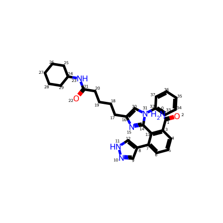 NC(=O)c1cccc(-c2cn[nH]c2)c1-c1nc(CCCCC(=O)NC2CCCCC2)cn1-c1ccccc1